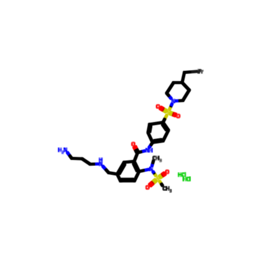 CC(C)CC1CCN(S(=O)(=O)c2ccc(NC(=O)c3cc(CNCCCN)ccc3N(C)S(C)(=O)=O)cc2)CC1.Cl.Cl